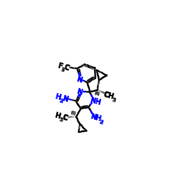 C[C@H](C1=C(N)NC(c2cccc(C(F)(F)F)n2)([C@@H](C)C2CC2)N=C1N)C1CC1